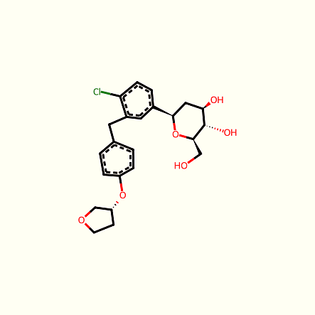 OC[C@H]1O[C@@H](c2ccc(Cl)c(Cc3ccc(O[C@@H]4CCOC4)cc3)c2)C[C@@H](O)[C@@H]1O